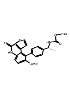 COc1ccc2[nH]c(=O)c3sccc3c2c1-c1ccc([C@@H](C)NC(=O)OC(C)(C)C)cc1